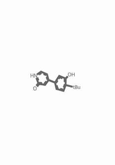 CC(C)(C)c1ccc(-c2cc[nH]c(=O)c2)cc1O